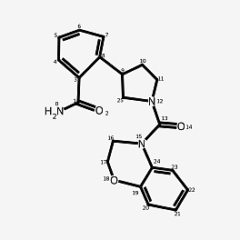 NC(=O)c1ccccc1C1CCN(C(=O)N2CCOc3ccccc32)C1